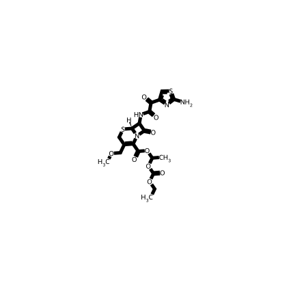 CCOC(=O)OC(C)OC(=O)C1=C(COC)CS[C@H]2C(NC(=O)C(=O)c3csc(N)n3)C(=O)N12